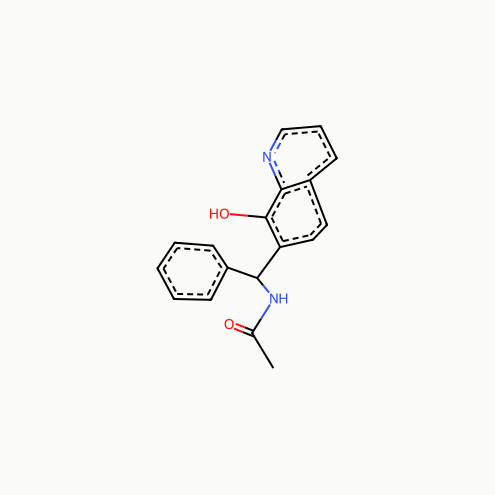 CC(=O)NC(c1ccccc1)c1ccc2cccnc2c1O